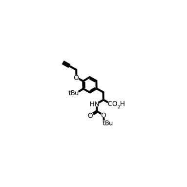 C#CCOc1ccc(CC(NC(=O)OC(C)(C)C)C(=O)O)cc1C(C)(C)C